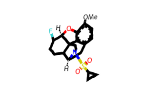 COc1ccc2c3c1O[C@@H]1C(F)CCC4[C@H](C2)N(S(=O)(=O)C2CC2)CCC341